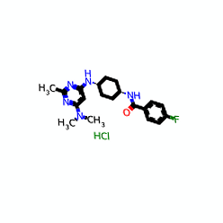 Cc1nc(N[C@H]2CC[C@@H](NC(=O)c3ccc(F)cc3)CC2)cc(N(C)C)n1.Cl